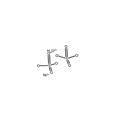 O=S(=O)([O-])[O-].O=S(=O)([O-])[O-].[Ni+2].[OH4+2]